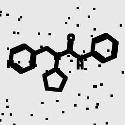 O=C(Nc1ccccc1)N(Cc1ccncc1)C1CCCC1